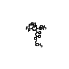 CCCOC(=O)CC(=O)c1cc(C(F)(F)F)c(O)nc1NC